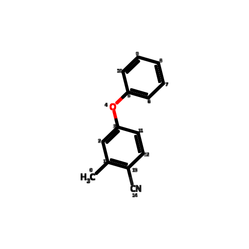 Cc1cc(Oc2ccccc2)ccc1C#N